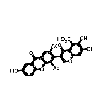 CC(=O)c1cc2c(=O)c3cc(O)ccc3oc2c(C(C)=O)c1-c1coc2cc(O)c(O)c(C(=O)O)c2c1=O